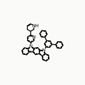 C1=CNCC(c2ccc(-n3c4ccccc4c4cc5c6ccccc6n(-c6cc(-c7ccccc7)cc(-c7ccccc7)c6)c5cc43)cn2)C1